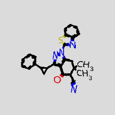 CC1(C)Cc2c(c(C3CC3c3ccccc3)nn2-c2nc3ccccc3s2)C(=O)C1C#N